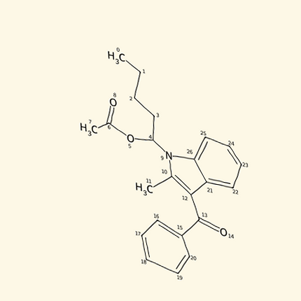 CCCCC(OC(C)=O)n1c(C)c(C(=O)c2ccccc2)c2ccccc21